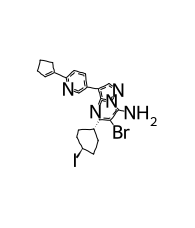 Nc1c(Br)c([C@H]2CC[C@H](I)CC2)nc2c(-c3ccc(C4=CCCC4)nc3)cnn12